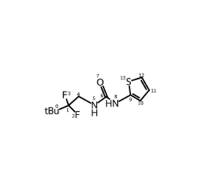 CC(C)(C)C(F)(F)CNC(=O)Nc1cccs1